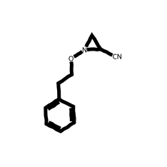 N#CC1CN1OCCc1ccccc1